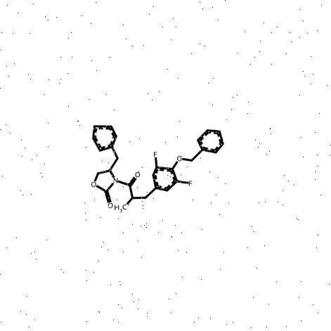 CC(Cc1cc(F)c(OCc2ccccc2)c(F)c1)C(=O)N1C(=O)OCC1Cc1ccccc1